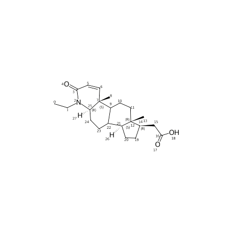 CCN1C(=O)C=C[C@]2(C)C3CC[C@]4(C)[C@@H](CC(=O)O)CC[C@H]4C3CC[C@@H]12